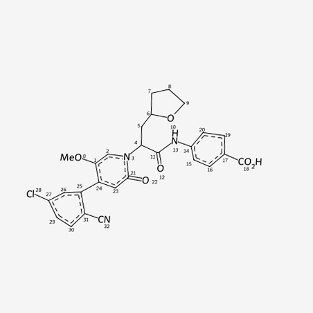 COc1cn(C(CC2CCCO2)C(=O)Nc2ccc(C(=O)O)cc2)c(=O)cc1-c1cc(Cl)ccc1C#N